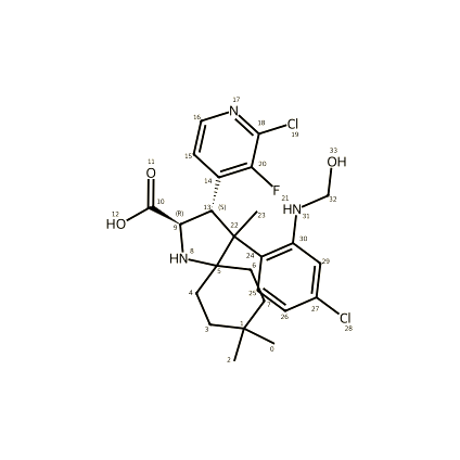 CC1(C)CCC2(CC1)N[C@@H](C(=O)O)[C@H](c1ccnc(Cl)c1F)C2(C)c1ccc(Cl)cc1NCO